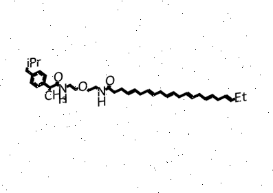 CCC=CCC=CCC=CCC=CCC=CCC=CCCC(=O)NCCOCCNC(=O)C(C)c1ccc(CC(C)C)cc1